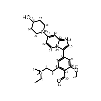 CCN(C)CCc1cc(-c2cnc3cc(N4CCC(O)CC4)ccn23)cc(OC)c1C=O